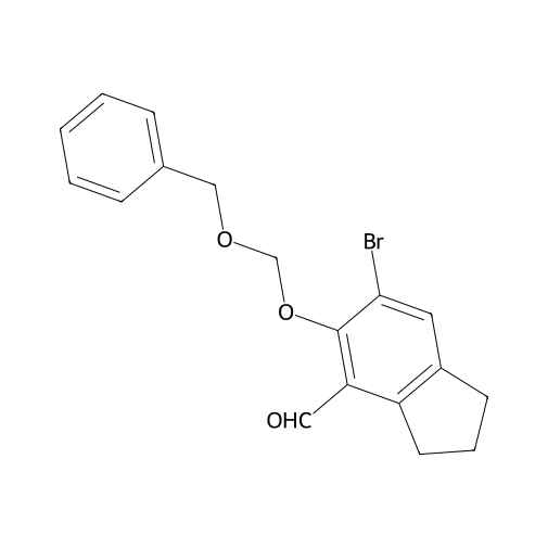 O=Cc1c2c(cc(Br)c1OCOCc1ccccc1)CCC2